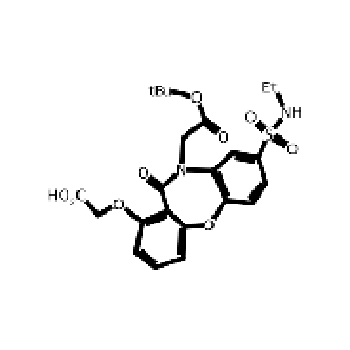 CCNS(=O)(=O)c1ccc2c(c1)N(CC(=O)OC(C)(C)C)C(=O)c1c(OCC(=O)O)cccc1O2